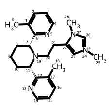 Cc1cccnc1[C@H]1CCC[C@@H](c2ncccc2C)N1CCc1c[n+](C)cn1C